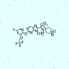 Cn1c(C(=O)NC2(C)CCS(=O)(=O)CC2)nc2cnc(Oc3ncc(F)cc3OCC(F)(F)F)nc21